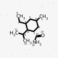 CCC1CC(C)CCC1C(C)C.NC=O